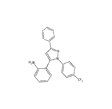 Nc1ccccc1-c1cc(-c2ccccc2)nn1-c1ccc(C(F)(F)F)cc1